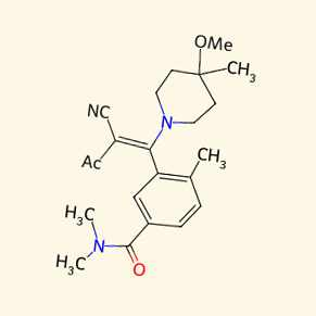 COC1(C)CCN(/C(=C(\C#N)C(C)=O)c2cc(C(=O)N(C)C)ccc2C)CC1